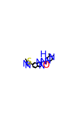 Cc1nnc(-c2ccc3cnc(NC(=O)N4CCN(C)C(C)C4)nc3c2)s1